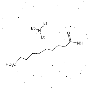 CCN(CC)CC.[NH]C(=O)CCCCCCCCC(=O)O